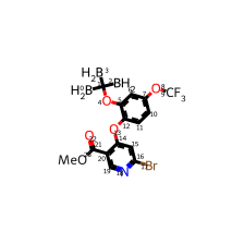 BC(B)(B)Oc1cc(OC(F)(F)F)ccc1Oc1cc(Br)ncc1C(=O)OC